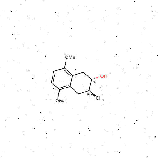 COc1ccc(OC)c2c1C[C@H](C)[C@@H](O)C2